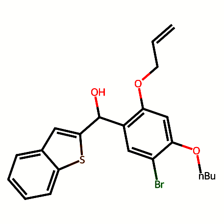 C=CCOc1cc(OCCCC)c(Br)cc1C(O)c1cc2ccccc2s1